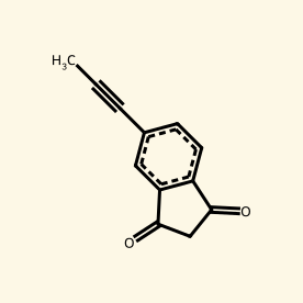 CC#Cc1ccc2c(c1)C(=O)CC2=O